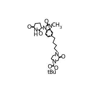 Cn1c(=O)n(C2CCC(=O)NC2=O)c2ccc(CCCCCN3CCN(C(=O)OC(C)(C)C)CC3=O)cc21